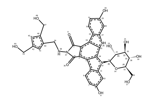 O=C1c2c(c3c4ccc(O)cc4n([C@@H]4O[C@H](CO)[C@@H](O)[C@H](O)[C@H]4O)c3c3[nH]c4cc(O)ccc4c23)C(=O)N1NCc1cc(CO)sc1CO